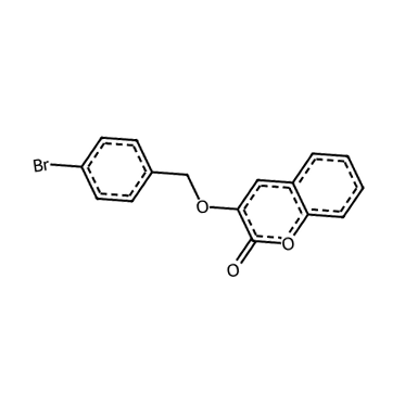 O=c1oc2ccccc2cc1OCc1ccc(Br)cc1